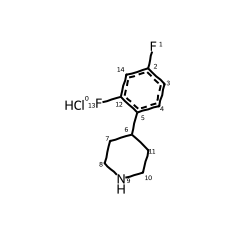 Cl.Fc1ccc(C2CCNCC2)c(F)c1